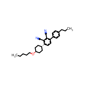 CCCCCO[C@H]1CC[C@H](c2ccc(-c3ccc(CCC)cc3)c(C#N)c2C#N)CC1